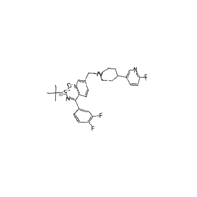 CC(C)(C)[S@@+]([O-])N=C(c1ccc(F)c(F)c1)c1ccc(CN2CCC(c3ccc(F)nc3)CC2)cn1